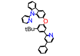 CC(C)(C)c1cc(Oc2ccc3c4ccccc4n(-c4ccccn4)c3c2)cc(-c2cc(-c3ccccc3)ccn2)c1